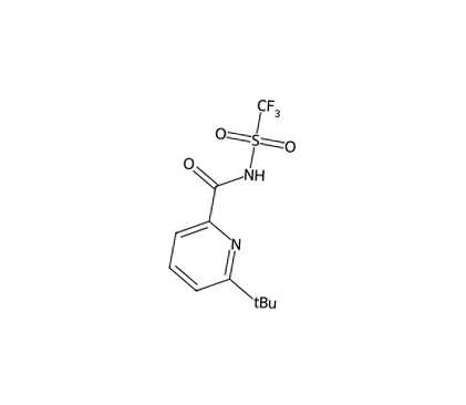 CC(C)(C)c1cccc(C(=O)NS(=O)(=O)C(F)(F)F)n1